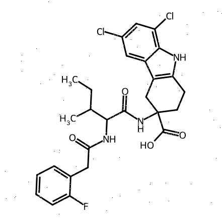 CCC(C)C(NC(=O)Cc1ccccc1F)C(=O)NC1(C(=O)O)CCc2[nH]c3c(Cl)cc(Cl)cc3c2C1